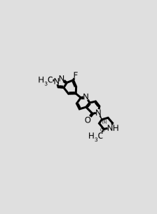 C[C@H]1C[C@@H](n2ccc3nc(-c4cc(F)c5nn(C)cc5c4)ccc3c2=O)CCN1